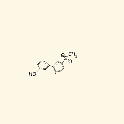 CS(=O)(=O)c1cc[c]c(-c2cccc(O)c2)c1